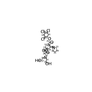 O=C(COc1cc(Cl)c(Cl)cc1Cl)N1CCN(S(=O)(=O)CCN(CCO)CCO)C[C@@H]1CN1CCCC1